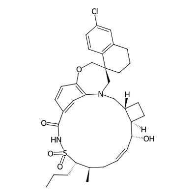 CCC[C@H]1[C@H](C)C/C=C\[C@@H](O)[C@@H]2CC[C@H]2CN2C[C@@]3(CCCc4cc(Cl)ccc43)COc3ccc(cc32)C(=O)NS1(=O)=O